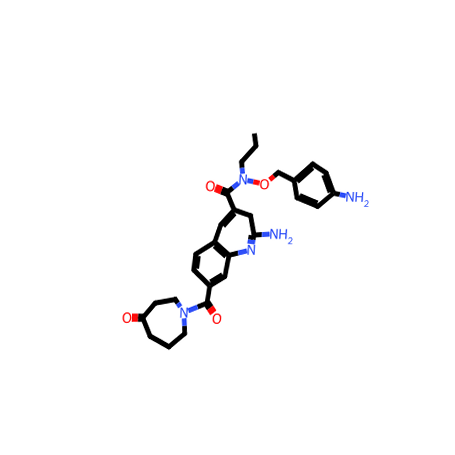 CCCN(OCc1ccc(N)cc1)C(=O)C1=Cc2ccc(C(=O)N3CCCC(=O)CC3)cc2N=C(N)C1